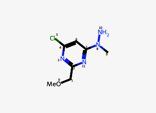 COCc1nc(Cl)cc(N(C)N)n1